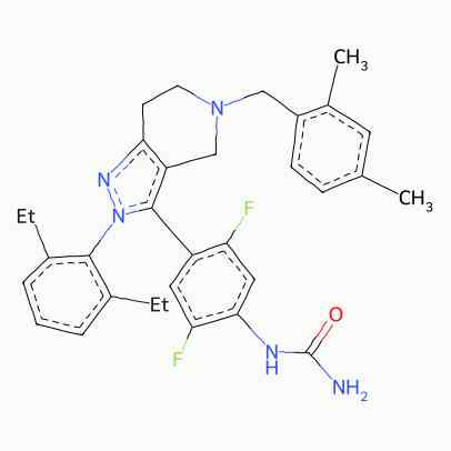 CCc1cccc(CC)c1-n1nc2c(c1-c1cc(F)c(NC(N)=O)cc1F)CN(Cc1ccc(C)cc1C)CC2